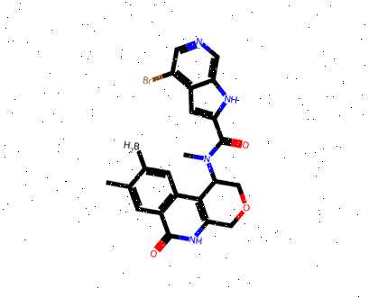 Bc1cc2c3c([nH]c(=O)c2cc1C)COCC3N(C)C(=O)c1cc2c(Br)cncc2[nH]1